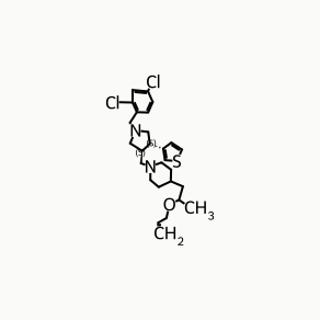 C=CCOC(C)CC1CCN(C[C@H]2CN(Cc3ccc(Cl)cc3Cl)C[C@@H]2c2ccsc2)CC1